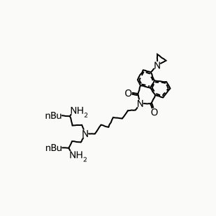 CCCCC(N)CCN(CCCCCCCN1C(=O)c2cccc3c(N4CC4)ccc(c23)C1=O)CCC(N)CCCC